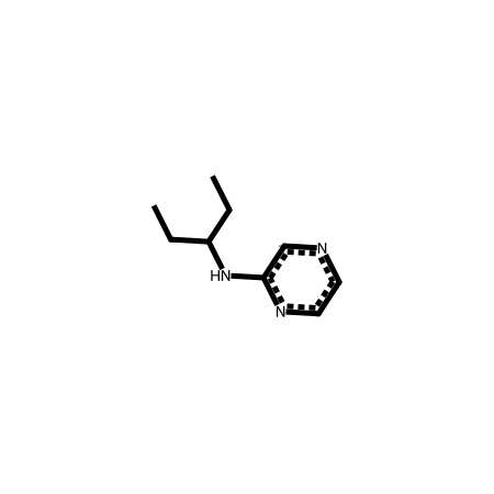 CCC(CC)Nc1[c]nccn1